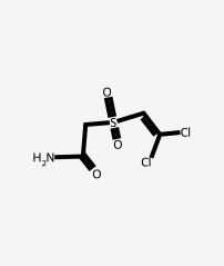 NC(=O)CS(=O)(=O)C=C(Cl)Cl